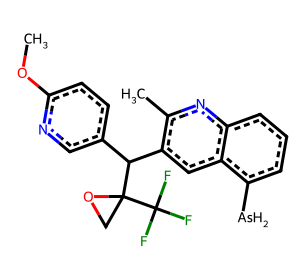 COc1ccc(C(c2cc3c([AsH2])cccc3nc2C)C2(C(F)(F)F)CO2)cn1